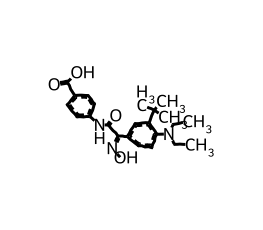 CCN(CC)c1ccc(/C(=N\O)C(=O)Nc2ccc(C(=O)O)cc2)cc1C(C)(C)C